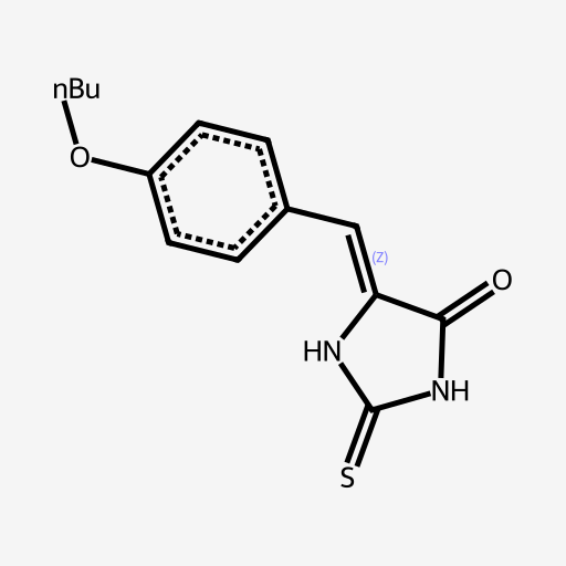 CCCCOc1ccc(/C=C2\NC(=S)NC2=O)cc1